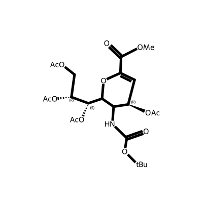 COC(=O)C1=C[C@@H](OC(C)=O)C(NC(=O)OC(C)(C)C)C([C@H](OC(C)=O)[C@@H](COC(C)=O)OC(C)=O)O1